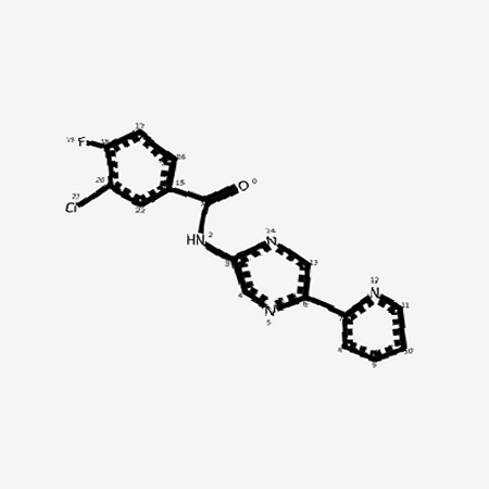 O=C(Nc1cnc(-c2ccccn2)cn1)c1ccc(F)c(Cl)c1